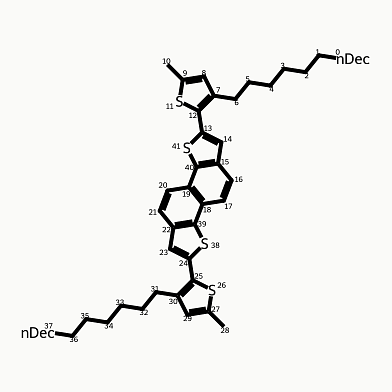 CCCCCCCCCCCCCCCCc1cc(C)sc1-c1cc2ccc3c(ccc4cc(-c5sc(C)cc5CCCCCCCCCCCCCCCC)sc43)c2s1